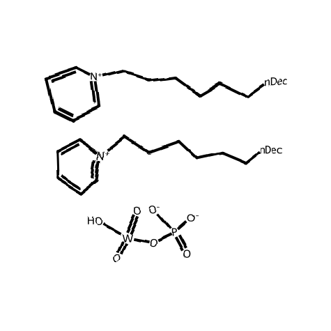 CCCCCCCCCCCCCCCC[n+]1ccccc1.CCCCCCCCCCCCCCCC[n+]1ccccc1.O=P([O-])([O-])[O][W](=[O])(=[O])[OH]